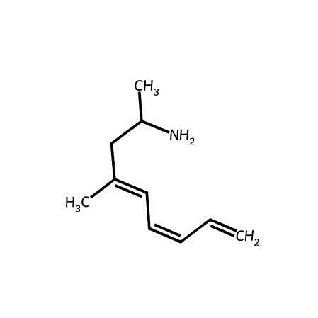 C=C/C=C\C=C(/C)CC(C)N